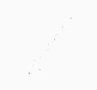 CNCC(O)CCCOCCCCCC[O]